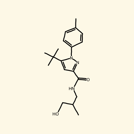 Cc1ccc(-n2nc(C(=O)NCC(C)CO)cc2C(C)(C)C)cc1